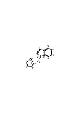 [c]1cn(C[C@@H]2CCCO2)c2ccccc12